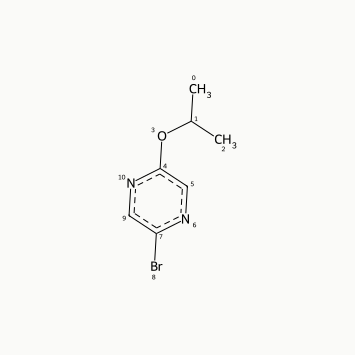 CC(C)Oc1cnc(Br)cn1